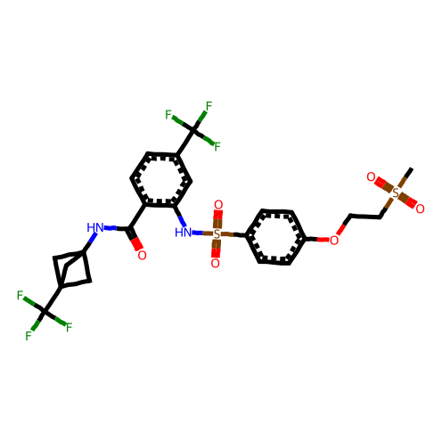 CS(=O)(=O)CCOc1ccc(S(=O)(=O)Nc2cc(C(F)(F)F)ccc2C(=O)NC23CC(C(F)(F)F)(C2)C3)cc1